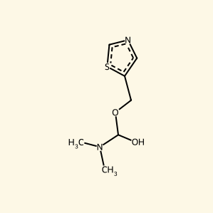 CN(C)C(O)OCc1cncs1